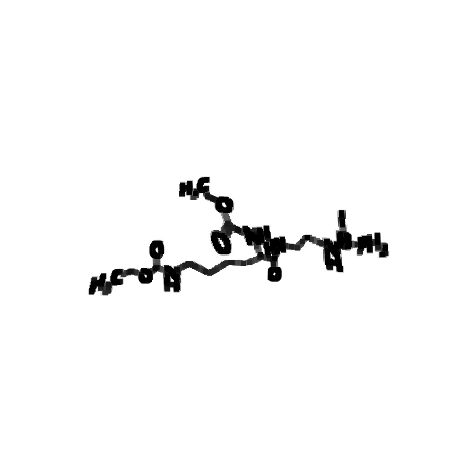 CCOC(=O)NCCCCC(NC(=O)OCC)C(=O)NCCNB(P)I